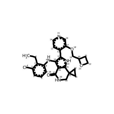 CCc1c(Cl)cccc1Nc1c(-c2ccncc2OCC2CCO2)[nH]c2c1C(=O)NCC21CC1